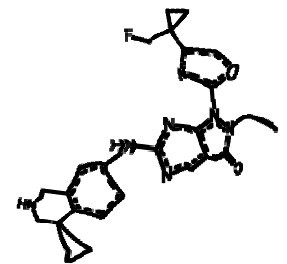 CCn1c(=O)c2cnc(Nc3ccc4c(c3)CNCC43CC3)nc2n1-c1nc(C2(CF)CC2)co1